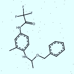 Cc1cc(NC(=O)C(F)(F)F)ccc1NC(C)OCc1ccccc1